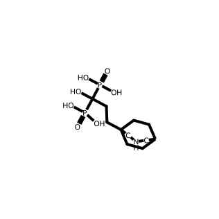 O=P(O)(O)C(O)(CCC12CCC(CC1)CNC2)P(=O)(O)O